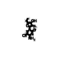 CCC1OC(n2cc(Cl)c(N)nc2=O)C([18F])C1O